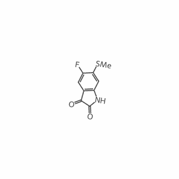 CSc1cc2c(cc1F)C(=O)C(=O)N2